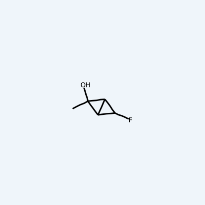 CC1(O)C2C(F)C21